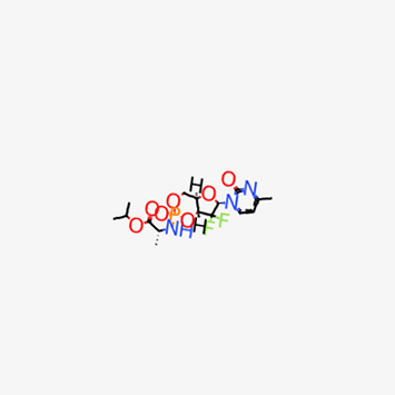 Cc1ccn([C@@H]2O[C@@H]3COP(=O)(N[C@H](C)C(=O)OC(C)C)O[C@H]3C2(F)F)c(=O)n1